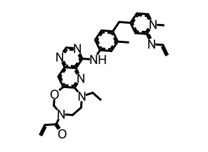 C=C/N=c1/cc(Cc2ccc(Nc3ncnc4cc5c(nc34)N(CC)CCN(C(=O)C=C)CO5)cc2C)ccn1C